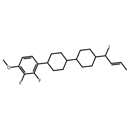 CC=CC(I)C1CCC(C2CCC(c3ccc(OC)c(F)c3F)CC2)CC1